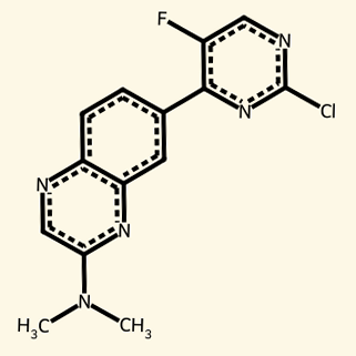 CN(C)c1cnc2ccc(-c3nc(Cl)ncc3F)cc2n1